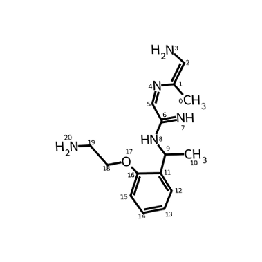 CC(=C/N)/N=C\C(=N)NC(C)c1ccccc1OCCN